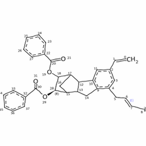 C=Cc1cc(C/C=C/C(C)C)c2c(c1)C1C(C2)C2CC1C(OC(=O)c1ccccc1)[C@@H]2OC(=O)c1ccccc1